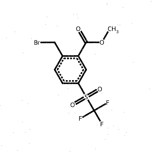 COC(=O)c1cc(S(=O)(=O)C(F)(F)F)ccc1CBr